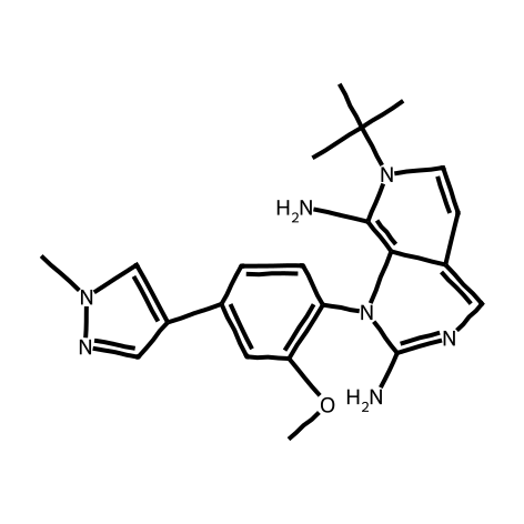 COc1cc(-c2cnn(C)c2)ccc1N1C(N)=NC=C2C=CN(C(C)(C)C)C(N)=C21